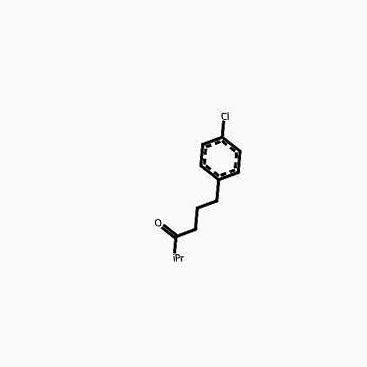 CC(C)C(=O)CCCc1ccc(Cl)cc1